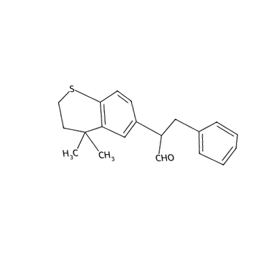 CC1(C)CCSc2ccc(C(C=O)Cc3ccccc3)cc21